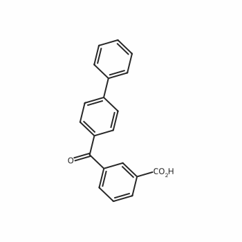 O=C(O)c1cccc(C(=O)c2ccc(-c3ccccc3)cc2)c1